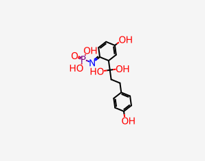 O=P(O)(O)N=C1C=CC(O)=CC1C(O)(O)CCc1ccc(O)cc1